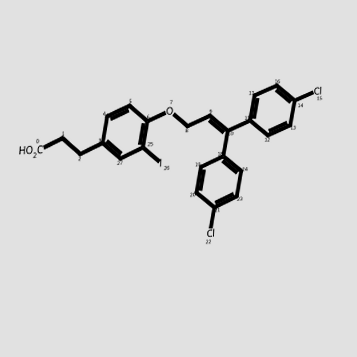 O=C(O)CCc1ccc(OCC=C(c2ccc(Cl)cc2)c2ccc(Cl)cc2)c(I)c1